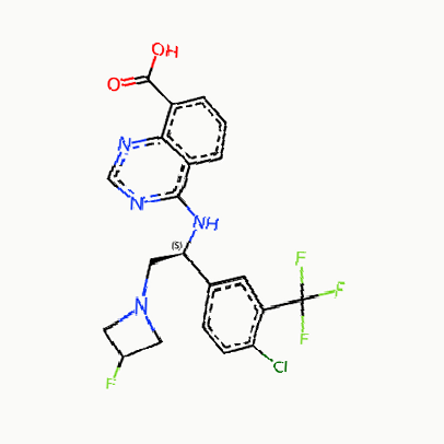 O=C(O)c1cccc2c(N[C@H](CN3CC(F)C3)c3ccc(Cl)c(C(F)(F)F)c3)ncnc12